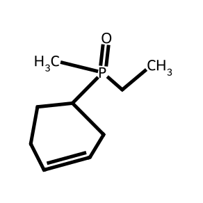 CCP(C)(=O)C1CC=CCC1